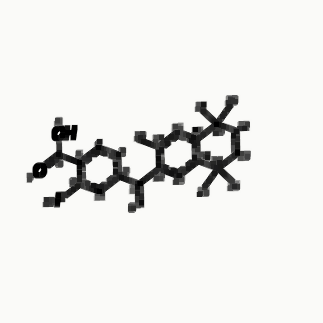 C=C(c1ccc(C(=O)O)c(F)c1)c1cc2c(cc1C)C(C)(C)C=CC2(C)C